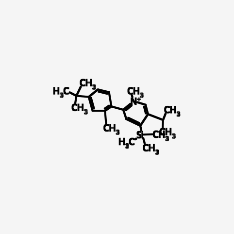 Cc1cc(C(C)(C)C)ccc1-c1cc([Si](C)(C)C)c(C(C)C)c[n+]1C